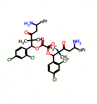 CCCC(N)CC(=O)C(C)(C)C(OC(=O)C(=O)OC(c1ccc(Cl)cc1Cl)C(C)(C)C(=O)CC(N)CCC)c1ccc(Cl)cc1Cl